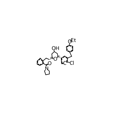 CCOc1ccc(Cc2cc([C@H]3CC(O)C[C@@H](CCc4ccccc4C(=O)N4CCCC4)O3)ccc2Cl)cc1